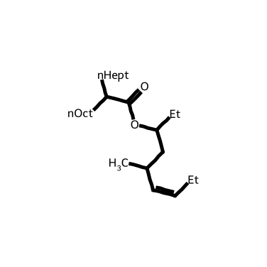 CC/C=C\C(C)CC(CC)OC(=O)C(CCCCCCC)CCCCCCCC